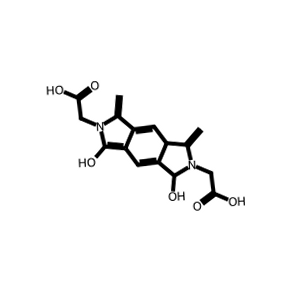 C=C1C2C=c3c(c(O)n(CC(=O)O)c3=C)C=C2C(O)N1CC(=O)O